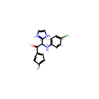 O=C(c1ccc(F)cc1)C(Nc1ccc(F)cc1)c1ncc[nH]1